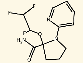 NC(=O)C1(OC(F)C(F)F)CCCN1c1ccccn1